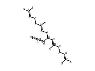 CC(C)=CCC/C(C)=C/CC(/C=C(\C)CCC=C(C)C)N=[N+]=[N-]